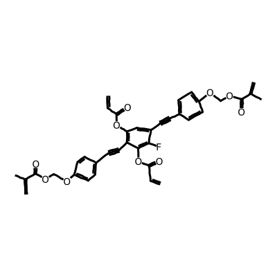 C=CC(=O)Oc1cc(C#Cc2ccc(OCOC(=O)C(=C)C)cc2)c(F)c(OC(=O)C=C)c1C#Cc1ccc(OCOC(=O)C(=C)C)cc1